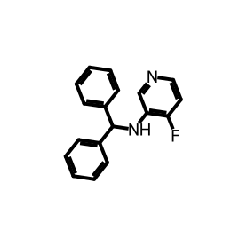 Fc1ccncc1NC(c1ccccc1)c1ccccc1